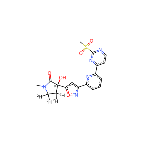 [2H]C1([2H])N(C)C(=O)[C@](O)(c2cc(-c3cccc(-c4ccnc(S(C)(=O)=O)n4)n3)no2)C1([2H])[2H]